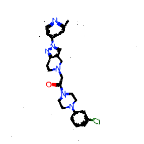 Cc1cc(-n2cc3c(n2)CCN(CC(=O)N2CCN(c4cccc(Cl)c4)CC2)C3)ccn1